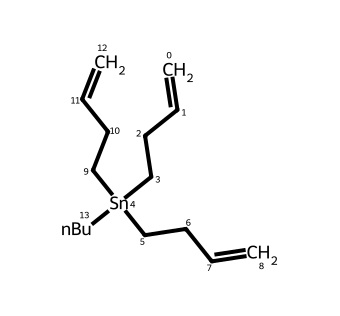 C=CC[CH2][Sn]([CH2]CC=C)([CH2]CC=C)[CH2]CCC